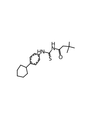 CC(C)(C)CC(=O)NC(=S)Nc1ccc(C2CCCCC2)cc1